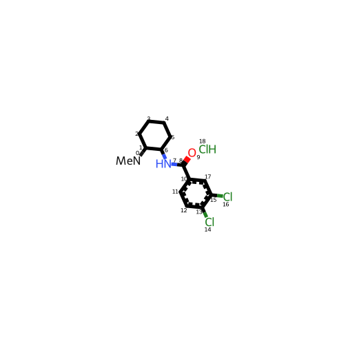 CNC1CCCCC1NC(=O)c1ccc(Cl)c(Cl)c1.Cl